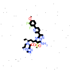 CCCN(C(=O)c1nnc[nH]1)[C@H](CC)CCc1nc2c(-c3ccc(-c4ccc(OC)c(F)c4F)nc3)cnn2c(N)c1S(C)(=O)=O